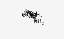 Cc1cc(=O)oc2cc(NC(=O)C(N)CCCCN)ccc12